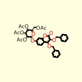 CC(=O)OC[C@H]1O[C@H](Oc2ccc3c(OCc4ccccc4)c(OCc4ccccc4)c(=O)oc3c2)[C@@H](OC(C)=O)[C@@H](OC(C)=O)[C@@H]1OC(C)=O